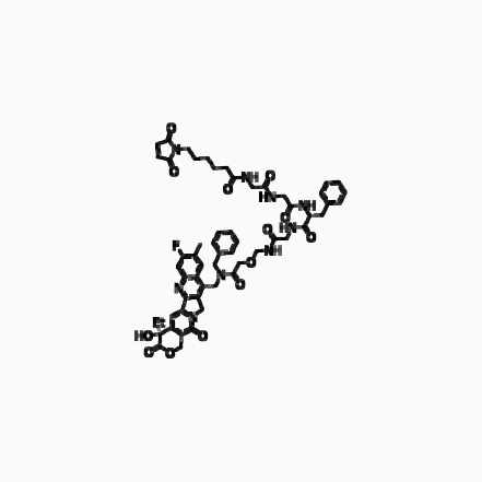 CC[C@@]1(O)C(=O)OCc2c1cc1n(c2=O)Cc2c-1nc1cc(F)c(C)cc1c2CN(Cc1ccccc1)C(=O)COCNC(=O)CNC(=O)[C@H](Cc1ccccc1)NC(=O)CNC(=O)CNC(=O)CCCCCN1C(=O)C=CC1=O